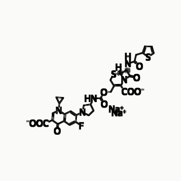 O=C(Cc1cccs1)N[C@@H]1C(=O)N2C(C(=O)[O-])=C(COC(=O)NC3CCN(c4cc5c(cc4F)c(=O)c(C(=O)[O-])cn5C4CC4)C3)CS[C@H]12.[Na+].[Na+]